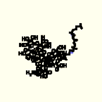 C=C(C/C=C(\C)CCC=C(C)C)CCC(C)(C)/C=C/CC/C(C)=C/CO[C@@H](COP(=O)(O)O[C@H]1O[C@H](C(=O)O)[C@@](C)(O)[C@H](OC(N)=O)C1O[C@@H]1O[C@H](CO[C@@H]2O[C@H](CO)[C@@H](O)[C@H](O)[C@H]2O)[C@@H](O[C@@H]2O[C@H](C)[C@@H](O[C@@H]3O[C@H](C(=O)NC4=C(O)CCC4=O)[C@H](O)[C@H](O)[C@H]3O)[C@H](O)[C@H]2NC(C)=O)[C@H](O)[C@H]1NC(C)=O)C(=O)O